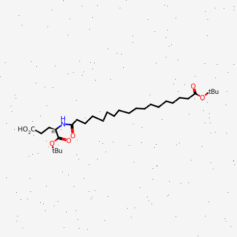 CC(C)(C)OC(=O)CCCCCCCCCCCCCCCCC(=O)N[C@H](CCC(=O)O)C(=O)OC(C)(C)C